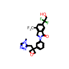 Cn1cnnc1CC1(c2cccc(N3Cc4c(cc(C(F)(F)CO)cc4C(F)(F)F)C3=O)c2)COC1